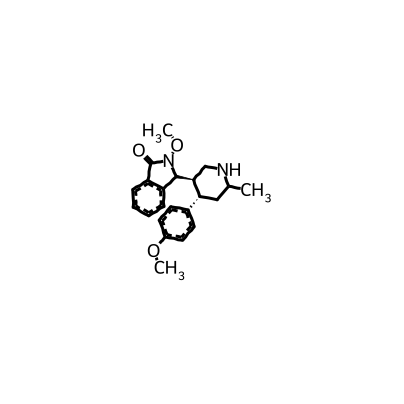 COc1ccc([C@H]2CC(C)NC[C@@H]2C2c3ccccc3C(=O)N2OC)cc1